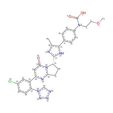 COCCN(C(=O)O)c1ccc(-c2[nH]c([C@@H]3CCc4nc(-c5cc(Cl)ccc5-n5cnnn5)cc(=O)n43)nc2C)cc1